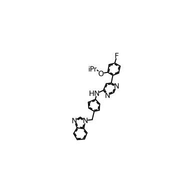 CC(C)Oc1cc(F)ccc1-c1cc(Nc2ccc(Cn3cnc4ccccc43)cc2)ncn1